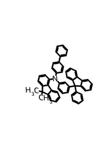 CC1(C)c2ccccc2-c2c(N(c3ccc(-c4ccccc4)cc3)c3cccc(C4(c5ccccc5)c5ccccc5-c5ccccc54)c3)cccc21